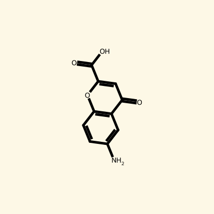 Nc1ccc2oc(C(=O)O)cc(=O)c2c1